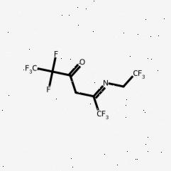 O=C(C/C(=N/CC(F)(F)F)C(F)(F)F)C(F)(F)C(F)(F)F